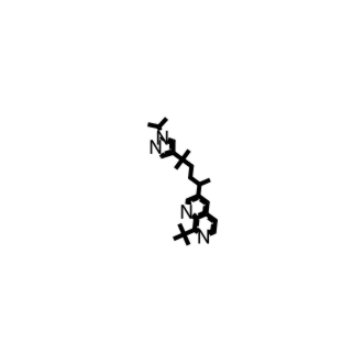 CC(CCC(C)(C)c1cnn(C(C)C)c1)c1cnc2c(C(C)(C)C)nccc2c1